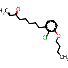 C=CC(=O)CCCCCc1cccc(OCCCC)c1Cl